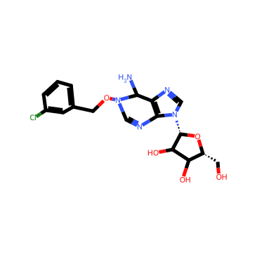 NC1c2ncn([C@@H]3O[C@H](CO)C(O)C3O)c2N=CN1OCc1cccc(Cl)c1